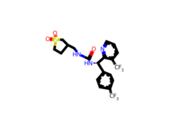 O=C(NCC1CCS(=O)(=O)C1)N[C@@H](c1ccc(C(F)(F)F)cc1)c1ncccc1C(F)(F)F